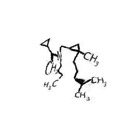 C=C(C1CC1)N(CCCC)CC1CC1(C)CCC=C(C)C